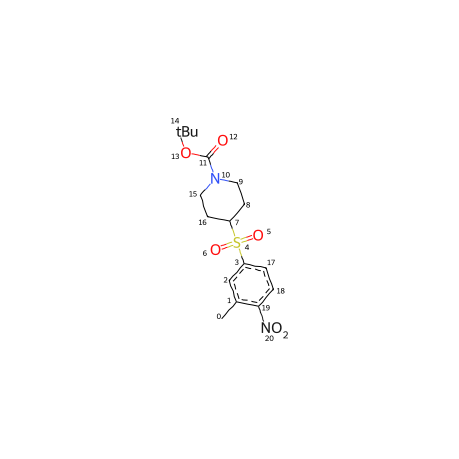 Cc1cc(S(=O)(=O)C2CCN(C(=O)OC(C)(C)C)CC2)ccc1[N+](=O)[O-]